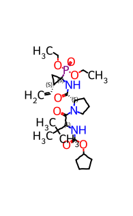 C=C[C@@H]1C[C@]1(NC(=O)[C@@H]1CCCN1C(=O)[C@@H](NC(=O)OC1CCCC1)C(C)(C)C)P(=O)(OCC)OCC